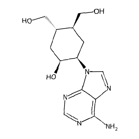 Nc1ncnc2c1ncn2[C@@H]1C[C@H](CO)[C@@H](CO)C[C@@H]1O